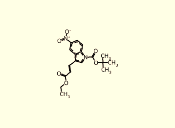 CCOC(=O)/C=C/c1cn(C(=O)OC(C)(C)C)c2ccc([N+](=O)[O-])cc12